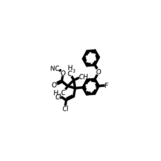 CC1(C)C(C)(C(=O)OC#N)C1(C=C(Cl)Cl)c1ccc(F)c(Oc2ccccc2)c1